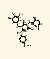 COc1ccc(Nc2nc(=O)n(Cc3c[nH]ccc3=O)c(=O)n2Cc2cc(F)c(F)c(F)c2)cc1